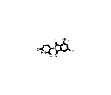 Nc1cc(Br)cc2c1C(=O)N(C1CCC(=O)NC1=O)C2=O